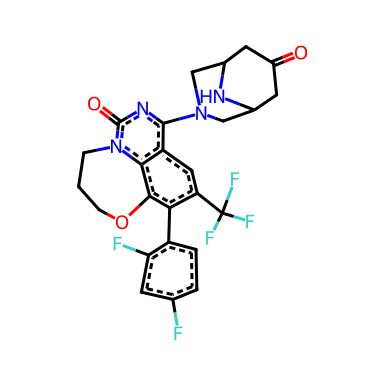 O=C1CC2CN(c3nc(=O)n4c5c(c(-c6ccc(F)cc6F)c(C(F)(F)F)cc35)OCCC4)CC(C1)N2